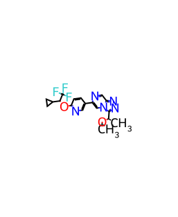 CO[C@H](C)c1nnc2cnc(-c3ccc(O[C@@H](C4CC4)C(F)(F)F)nc3)cn12